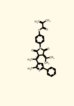 C=C(C)C(=O)Oc1ccc(N2C(=O)C(=C(C)C)/C(=C(/C)c3cc(-c4ccccc4)sc3C)C2=O)cc1